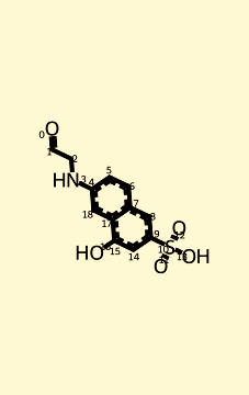 O=CCNc1ccc2cc(S(=O)(=O)O)cc(O)c2c1